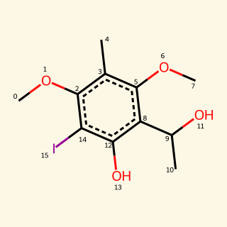 COc1c(C)c(OC)c(C(C)O)c(O)c1I